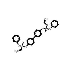 C=CNP(=O)(Oc1ccccc1)Oc1ccc(-c2ccc(OP(=O)(C=C)Oc3ccccc3)cc2)cc1